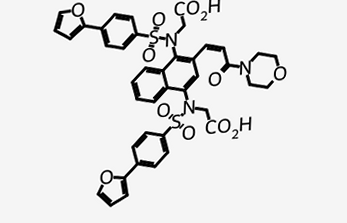 O=C(O)CN(c1cc(/C=C\C(=O)N2CCOCC2)c(N(CC(=O)O)S(=O)(=O)c2ccc(-c3ccco3)cc2)c2ccccc12)S(=O)(=O)c1ccc(-c2ccco2)cc1